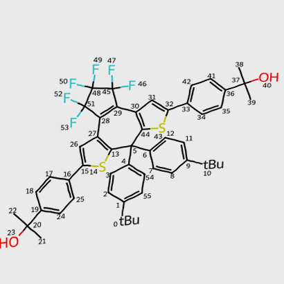 CC(C)(C)c1ccc(C2(c3ccc(C(C)(C)C)cc3)c3sc(-c4ccc(C(C)(C)O)cc4)cc3C3=C(c4cc(-c5ccc(C(C)(C)O)cc5)sc42)C(F)(F)C(F)(F)C3(F)F)cc1